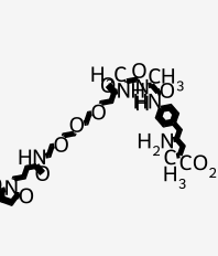 CC(CC(N)Cc1ccc(NC(=O)C(C)NC(=O)C(C)NC(=O)CCOCCOCCOCCNC(=O)CCCN2C(=O)C=CC2=O)cc1)C(=O)O